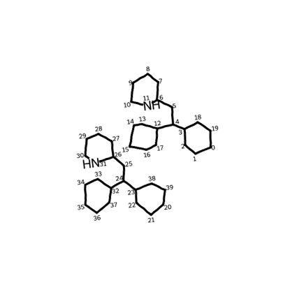 C1CCC(C(CC2CCCCN2)C2CCCCC2)CC1.C1CCC(C(CC2CCCCN2)C2CCCCC2)CC1